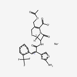 CC(=O)OCC1=C(C(=O)[O-])N2C(=O)C(NC(=O)/C(=C\c3ccccc3C(F)(F)F)c3csc(N)n3)[C@@H]2SC1.[Na+]